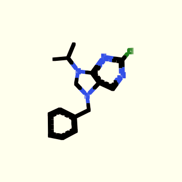 CC(C)N1CN(Cc2ccccc2)c2cnc(Cl)nc21